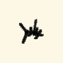 CCCCCCCCCCC=CC1=C(c2cc(CCCC)c(CCCC)c(CCCC)c2)[N+](=[N-])C(c2cc(CCCC)c(CCCC)c(CCCC)c2)=C1CCCC.CCCCCCCCCC[CH2][Ni][CH2]CCCCCCCCCC